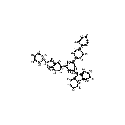 c1ccc(-c2ccc(-c3nc(-c4ccc5nc(-c6ccccc6)sc5c4)nc(-n4c5ccccc5c5ccccc54)n3)cc2)cc1